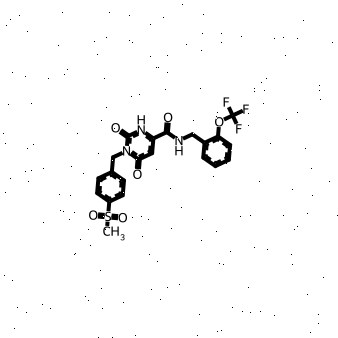 CS(=O)(=O)c1ccc(Cn2c(=O)cc(C(=O)NCc3ccccc3OC(F)(F)F)[nH]c2=O)cc1